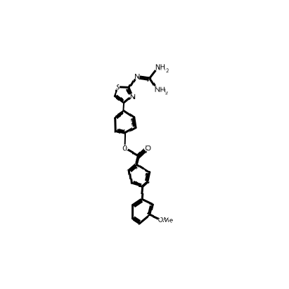 COc1cccc(-c2ccc(C(=O)Oc3ccc(-c4csc(N=C(N)N)n4)cc3)cc2)c1